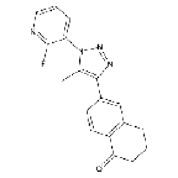 Cc1c(-c2ccc3c(c2)CCCC3=O)nnn1-c1cccnc1F